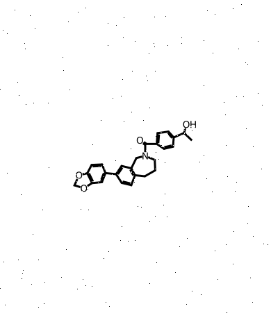 CC(O)c1ccc(C(=O)N2CCCc3ccc(-c4ccc5c(c4)OCO5)cc3C2)cc1